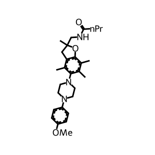 CCCC(=O)NCC1(C)Cc2c(C)c(N3CCN(c4ccc(OC)cc4)CC3)c(C)c(C)c2O1